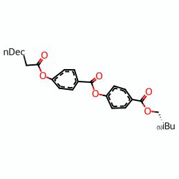 CCCCCCCCCCCC(=O)Oc1ccc(C(=O)Oc2ccc(C(=O)OC[C@@H](C)CC)cc2)cc1